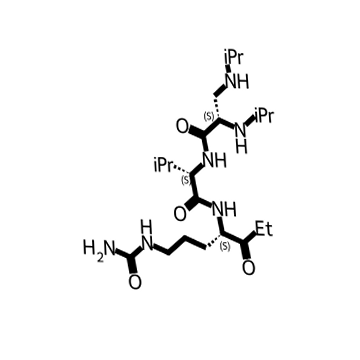 CCC(=O)[C@H](CCCNC(N)=O)NC(=O)[C@@H](NC(=O)[C@H](CNC(C)C)NC(C)C)C(C)C